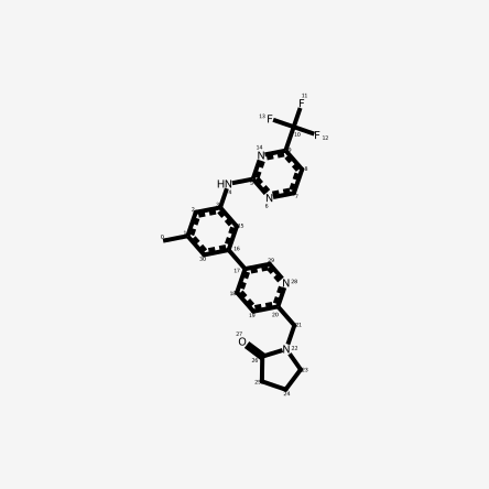 Cc1cc(Nc2nccc(C(F)(F)F)n2)cc(-c2ccc(CN3CCCC3=O)nc2)c1